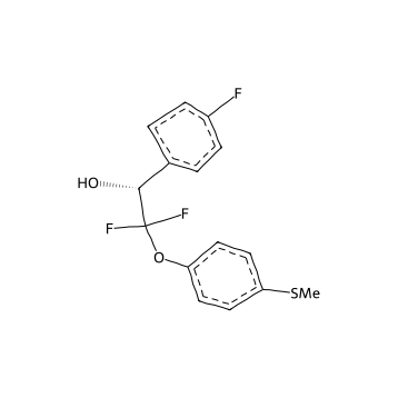 CSc1ccc(OC(F)(F)[C@H](O)c2ccc(F)cc2)cc1